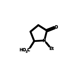 CCN1C(=O)CCC1C(=O)O